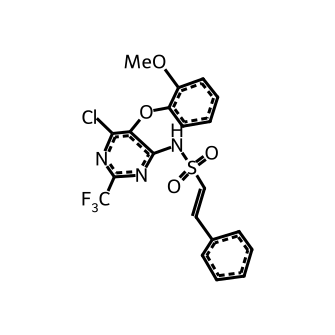 COc1ccccc1Oc1c(Cl)nc(C(F)(F)F)nc1NS(=O)(=O)/C=C/c1ccccc1